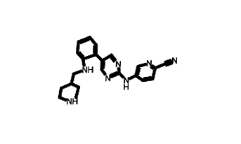 N#Cc1ccc(Nc2ncc(-c3ccccc3NCC3CCNCC3)cn2)cn1